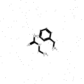 CCOC(C)=O.CCc1ccccc1